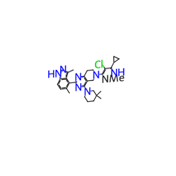 CN/C(=C(/Cl)C(=N)C1CC1)N1CCc2nc(-c3c(C)ccc4[nH]nc(C)c34)nc(N3CCCC(C)(C)C3)c2C1